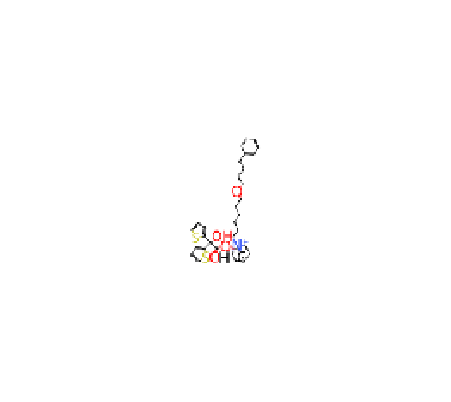 O=C(O[C@@H]1CC2CC[N+]1(CCCCCCOCCCCc1ccccc1)CC2)C(O)(c1cccs1)c1cccs1